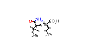 C=C(C(N)=O)C(C)(C)CC(C)(C)C.CC(=CCC(C)C)C(=O)O